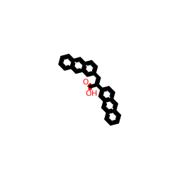 O=C(O)C(=Cc1ccc2cc3ccccc3cc2c1)c1ccc2cc3ccccc3cc2c1